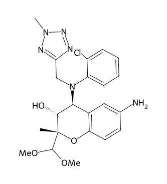 COC(OC)[C@@]1(C)Oc2ccc(N)cc2[C@H](N(Cc2nnn(C)n2)c2ccccc2Cl)[C@H]1O